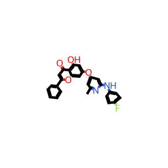 Cc1cc(Oc2cc(O)c3c(=O)cc(-c4ccccc4)oc3c2)cc(Nc2ccc(F)cc2)n1